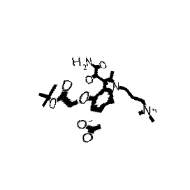 CC(=O)[O-].Cc1c(C(=O)C(N)=O)c2c(OCC(=O)OC(C)(C)C)cccc2n1CCC[N+](C)(C)C